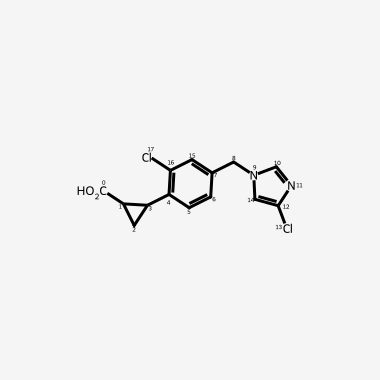 O=C(O)C1CC1c1ccc(Cn2cnc(Cl)c2)cc1Cl